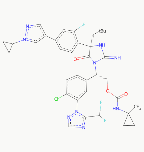 CC(C)(C)C[C@]1(c2ccc(-c3cnn(C4CC4)c3)cc2F)NC(=N)N([C@H](COC(=O)NC2(C(F)(F)F)CC2)c2ccc(Cl)c(-n3ncnc3C(F)F)c2)C1=O